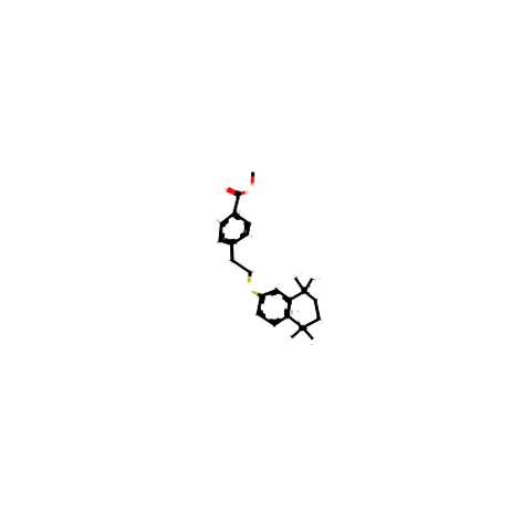 COC(=O)c1ccc(CCSc2ccc3c(c2)C(C)(C)CCC3(C)C)cc1